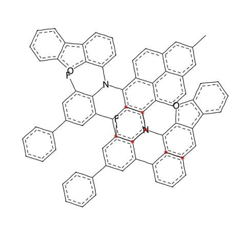 Cc1cc2ccc3c(N(c4c(F)cc(-c5ccccc5)cc4-c4ccccc4)c4cccc5c4oc4ccccc45)cc(N(c4c(F)cc(-c5ccccc5)cc4-c4ccccc4)c4cccc5c4oc4ccccc45)c4ccc(c1)c2c34